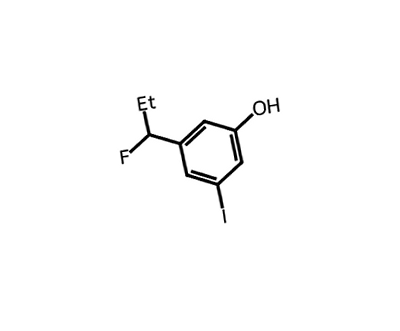 [CH2]CC(F)c1cc(O)cc(I)c1